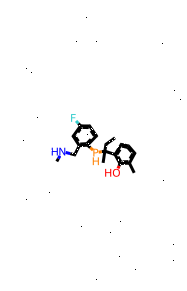 CCC(C)(Pc1ccc(F)cc1CNC)c1cccc(C)c1O